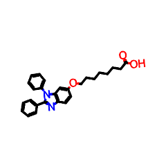 O=C(O)CCCCCCCOc1ccc2nc(-c3ccccc3)n(-c3ccccc3)c2c1